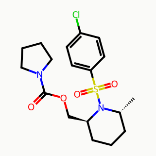 C[C@@H]1CCC[C@@H](COC(=O)N2CCCC2)N1S(=O)(=O)c1ccc(Cl)cc1